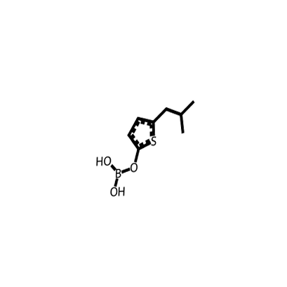 CC(C)Cc1ccc(OB(O)O)s1